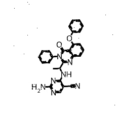 CC(Nc1nc(N)ncc1C#N)c1nc2cccc(Oc3ccccc3)c2c(=O)n1-c1ccccc1